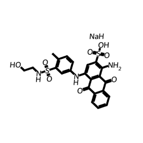 Cc1ccc(Nc2cc(S(=O)(=O)O)c(N)c3c2C(=O)c2ccccc2C3=O)cc1S(=O)(=O)NCCO.[NaH]